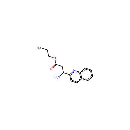 CCCOC(=O)CC(N)c1ccc2ccccc2n1